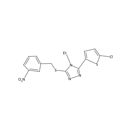 CCn1c(SCc2cccc([N+](=O)[O-])c2)nnc1-c1ccc(Cl)s1